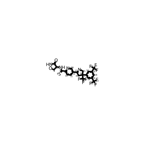 O=C1NOCC1NC(=S)c1ccc(C2=NCC(c3cc(C(F)(F)F)cc(C(F)(F)F)c3)(C(F)(F)F)C2)cn1